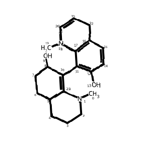 CN1CCCC2CCC(O)C(c3c(O)ccc4c3N(C)C=CC4)=C21